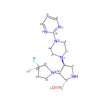 O=C[C@H]1NC[C@H](N2CCN(c3ncccn3)CC2)C1N1CCC(F)(F)C1